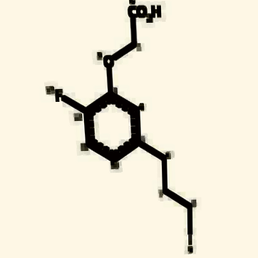 O=C(O)COc1cc(CCCI)ccc1F